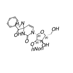 CCCCCCCCCO[C@@H]1[C@H](O)[C@@H](CO)O[C@H]1N1C=CC(N)(C(=O)c2ccccc2)NC1=O